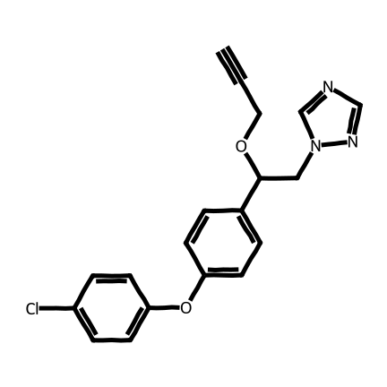 C#CCOC(Cn1cncn1)c1ccc(Oc2ccc(Cl)cc2)cc1